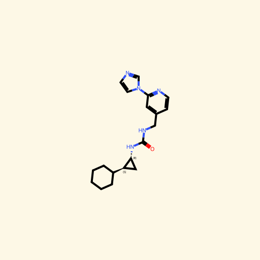 O=C(NCc1ccnc(-n2ccnc2)c1)N[C@@H]1C[C@H]1C1CCCCC1